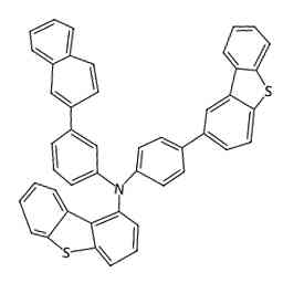 c1cc(-c2ccc3ccccc3c2)cc(N(c2ccc(-c3ccc4sc5ccccc5c4c3)cc2)c2cccc3sc4ccccc4c23)c1